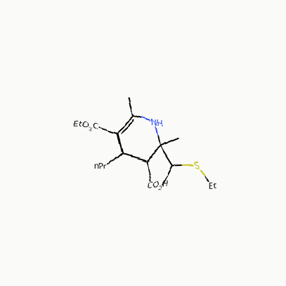 CCCC1C(C(=O)OCC)=C(C)NC(C)(C(C)SCC)C1C(=O)O